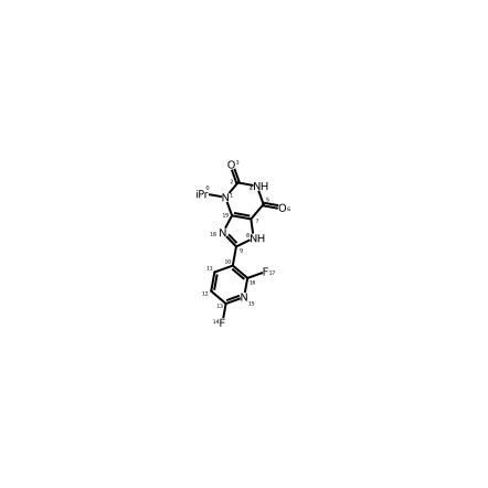 CC(C)n1c(=O)[nH]c(=O)c2[nH]c(-c3ccc(F)nc3F)nc21